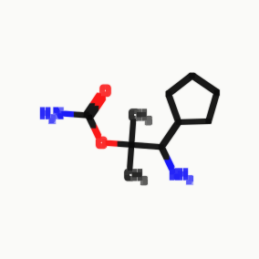 CC(C)(OC(N)=O)C(N)C1CCCC1